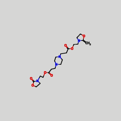 C=C1OCCN1CCOC(=O)CCN1CCN(CCC(=O)OCCN2CCOC2=O)CC1